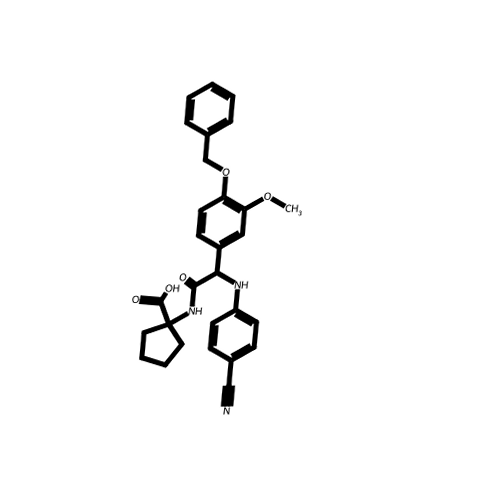 COc1cc(C(Nc2ccc(C#N)cc2)C(=O)NC2(C(=O)O)CCCC2)ccc1OCc1ccccc1